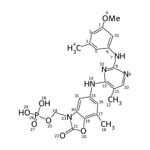 COc1cc(C)cc(Nc2ncc(C)c(Nc3cc(C)c4oc(=O)n(COP(=O)(O)O)c4c3)n2)c1